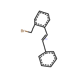 BrCc1ccccc1/C=C/c1ccccc1